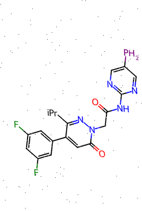 CC(C)c1nn(CC(=O)Nc2ncc(P)cn2)c(=O)cc1-c1cc(F)cc(F)c1